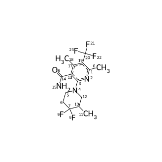 Cc1nc(N2CCC(F)(F)C(C)C2)c(C(N)=O)c(C)c1C(F)(F)F